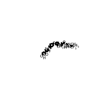 Cc1cc(OC2CCC3(CC2)CN(c2ncc(C4CCC(=O)NC4=O)cc2F)C3)ccc1-n1cc(C(=O)NCc2nc(C(C)(C)C(F)(F)F)n[nH]2)cn1